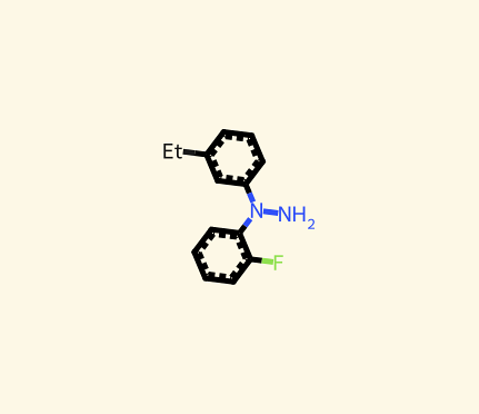 CCc1cccc(N(N)c2ccccc2F)c1